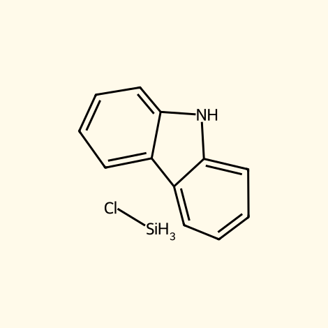 [SiH3]Cl.c1ccc2c(c1)[nH]c1ccccc12